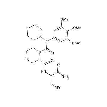 COc1cc(C(C(=O)N2CCCC[C@H]2C(=O)NC(CC(C)C)C(N)=O)C2CCCCC2)cc(OC)c1OC